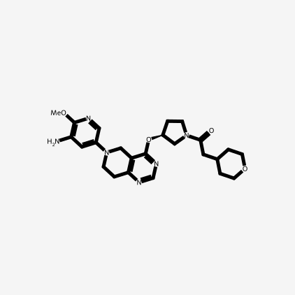 COc1ncc(N2CCc3ncnc(O[C@H]4CCN(C(=O)CC5CCOCC5)C4)c3C2)cc1N